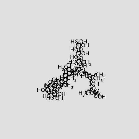 CC[C@H](C)[C@H](C[C@H](O)CC(=O)O[C@@H]1[C@H](O)[C@@H](O[C@@H]2O[C@@H](C)[C@H](O[C@@H]3OC[C@@H](O)[C@H](O[C@@H]4OC[C@@H](O)[C@H](O)[C@H]4O)[C@H]3O)[C@@H](O)[C@H]2O)[C@H](OC(=O)[C@]23CCC(C)(C)C[C@H]2C2=CC[C@@H]4[C@@]5(C)CC[C@H](O[C@@H]6O[C@H](C(=O)O)[C@@H](O)[C@H](O[C@@H]7OC[C@@H](O)[C@H](O)[C@H]7O)[C@H]6O[C@@H]6O[C@H](CO)[C@H](O)[C@H](O)[C@H]6O)[C@@](C)(C=O)[C@@H]5CC[C@@]4(C)[C@]2(C)C[C@H]3O)O[C@@H]1C)OC(=O)C[C@@H](O)C[C@H](O[C@@H]1O[C@@H](CO)[C@H](O)[C@H]1O)[C@@H](C)CC